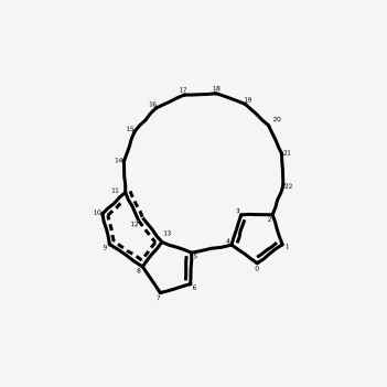 C1=CC2C=C1C1=CCc3ccc(cc31)CCCCCCCCC2